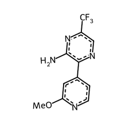 COc1cc(-c2ncc(C(F)(F)F)nc2N)ccn1